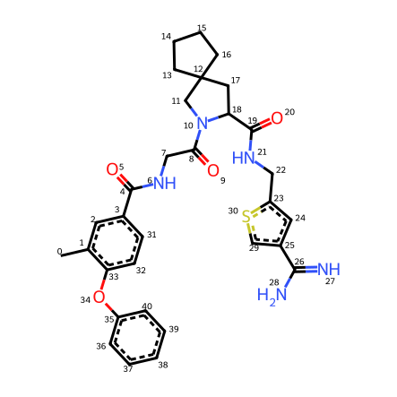 Cc1cc(C(=O)NCC(=O)N2CC3(CCCC3)CC2C(=O)NCc2cc(C(=N)N)cs2)ccc1Oc1ccccc1